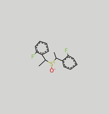 CC(c1ccccc1F)[S+]([O-])C(C)c1ccccc1F